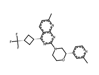 Cc1cc([C@H]2CN(c3nc4nc(C)ccc4c([C@H]4C[C@@H](C(F)(F)F)C4)n3)CCO2)ccn1